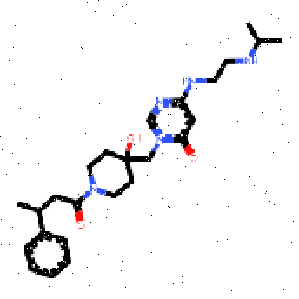 CC(C)NCCNc1cc(=O)n(CC2(O)CCN(C(=O)CC(C)c3ccccc3)CC2)cn1